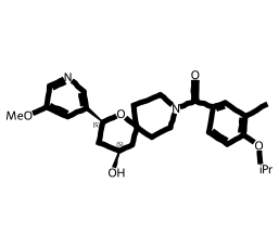 COc1cncc([C@@H]2C[C@H](O)CC3(CCN(C(=O)c4ccc(OC(C)C)c(C)c4)CC3)O2)c1